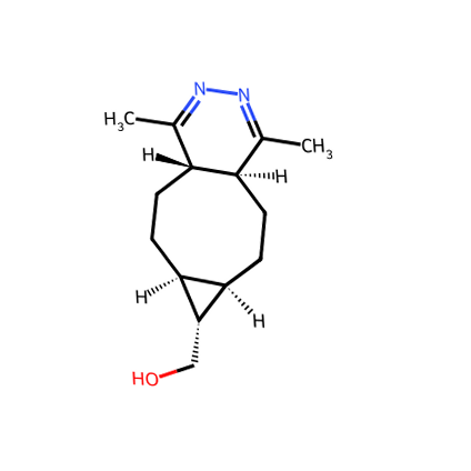 CC1=NN=C(C)[C@H]2CC[C@H]3[C@H](CO)[C@H]3CC[C@H]12